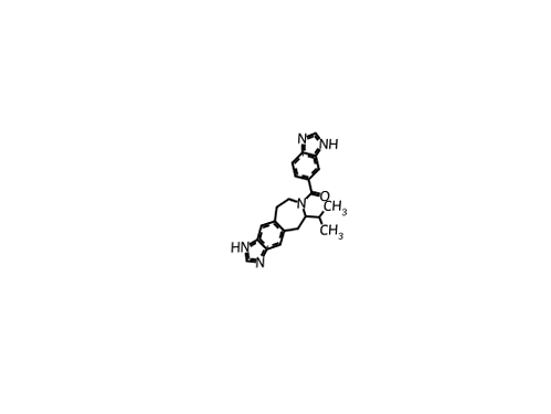 CC(C)C1Cc2cc3nc[nH]c3cc2CCN1C(=O)c1ccc2nc[nH]c2c1